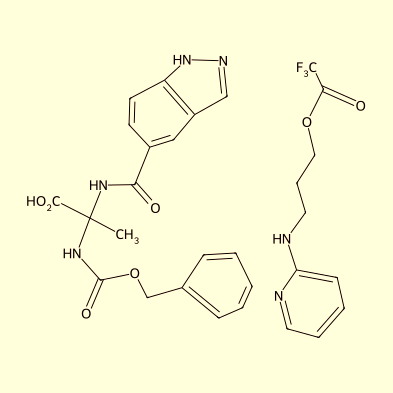 CC(NC(=O)OCc1ccccc1)(NC(=O)c1ccc2[nH]ncc2c1)C(=O)O.O=C(OCCCNc1ccccn1)C(F)(F)F